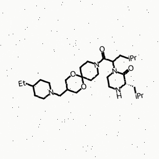 CCC1CCN(CC2COC3(CCN(C(=O)C(CC(C)C)N4CCN[C@@H](CC(C)C)C4=O)CC3)OC2)CC1